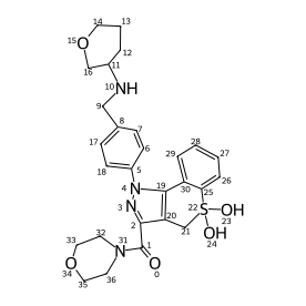 O=C(c1nn(-c2ccc(CNC3CCCOC3)cc2)c2c1CS(O)(O)c1ccccc1-2)N1CCOCC1